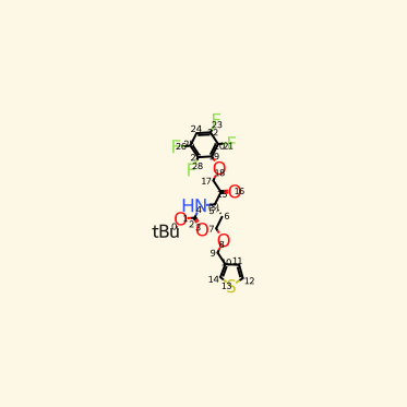 CC(C)(C)OC(=O)N[C@@H](CCOCc1ccsc1)C(=O)COc1c(F)c(F)cc(F)c1F